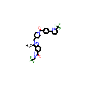 Cc1c2cc(C(=O)NCC(F)(F)F)ccc2nn1CC1CCN(C(=O)c2ccc(-c3cccc(C(F)(F)F)n3)cc2)CC1